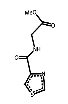 COC(=O)CNC(=O)c1[c]scn1